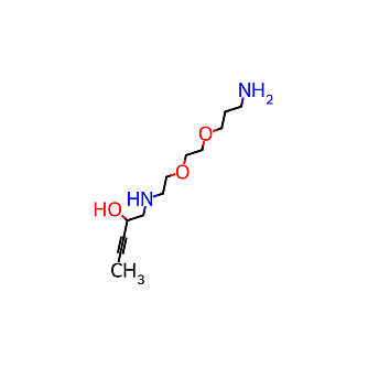 CC#CC(O)CNCCOCCOCCCN